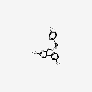 Cc1ccc([C@H]2C[C@@H]2COc2nc(C)ncc2-c2cc(O)ccn2)nc1